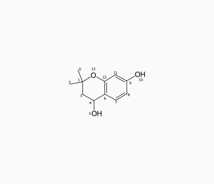 CC1(C)CC(O)c2ccc(O)cc2O1